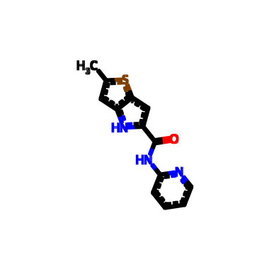 Cc1cc2[nH]c(C(=O)Nc3ccccn3)cc2s1